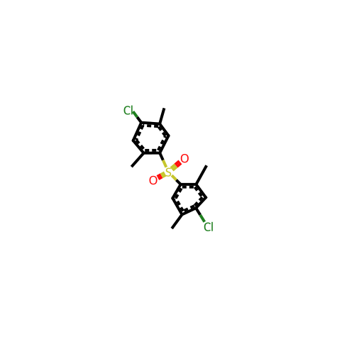 Cc1cc(S(=O)(=O)c2cc(C)c(Cl)cc2C)c(C)cc1Cl